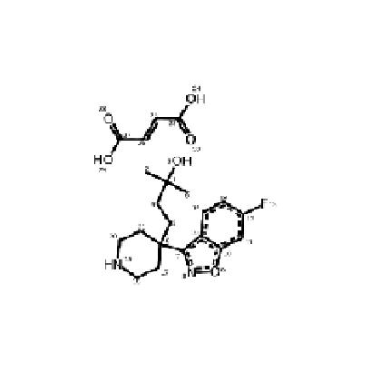 CC(C)(O)CCC1(c2noc3cc(F)ccc23)CCNCC1.O=C(O)C=CC(=O)O